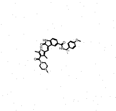 COc1ccc([C@H](C)NC(=O)c2ccc3c(c2)C(=Cc2[nH]c(C)c(C(=O)N4CCN(C)CC4)c2C)C(=O)N3)cc1